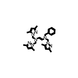 Cc1cc(C)n(CN(C=CN(Cn2nc(C)cc2C)Cn2nc(C)cc2C)Cc2ccccc2)n1